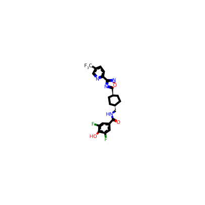 O=C(NC[C@H]1CC[C@H](c2nc(-c3ccc(C(F)(F)F)cn3)no2)CC1)c1cc(F)c(O)c(F)c1